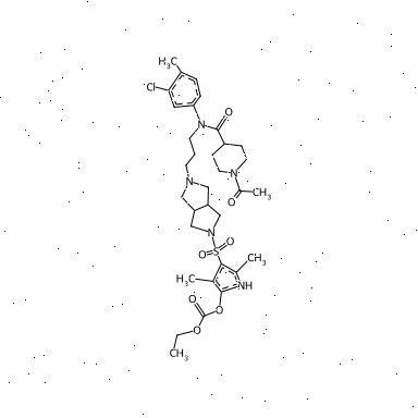 CCOC(=O)Oc1[nH]c(C)c(S(=O)(=O)N2CC3CN(CCCN(C(=O)C4CCN(C(C)=O)CC4)c4ccc(C)c(Cl)c4)CC3C2)c1C